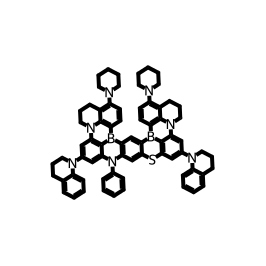 c1ccc(N2c3cc4c(cc3B3c5ccc(N6CCCCC6)c6c5N(CCC6)c5cc(N6CCCc7ccccc76)cc2c53)B2c3ccc(N5CCCCC5)c5c3N(CCC5)c3cc(N5CCCc6ccccc65)cc(c32)S4)cc1